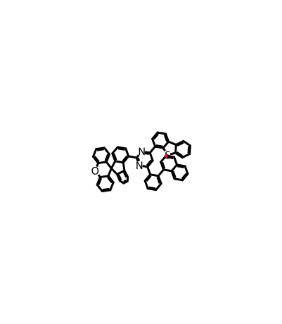 c1ccc2c(c1)Oc1ccccc1C21c2ccccc2-c2c(-c3nc(-c4ccccc4-c4cccc5ccccc45)cc(-c4cccc5c4sc4ccccc45)n3)cccc21